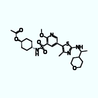 COc1ncc(-c2sc(NC(C)C3CCOCC3)nc2C)cc1S(=O)(=O)N[C@H]1CC[C@H](OC(C)=O)CC1